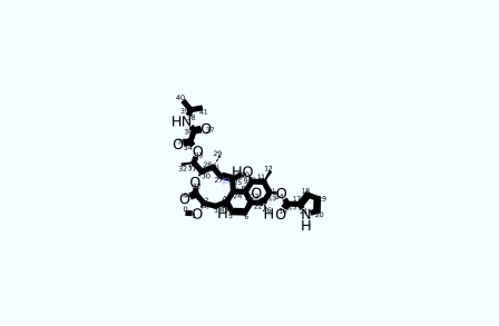 CO[C@H]1C[C@H]2C=CC3C4[C@H](O)[C@@H](C)[C@@H](OC(=O)c5ccc[nH]5)[C@@H]3O[C@]42/C(C)=C/[C@@H](C)[C@@H]([C@@H](C)OC(=O)C(=O)NC(C)C)OC1=O